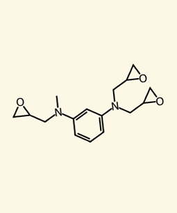 CN(CC1CO1)c1cccc(N(CC2CO2)CC2CO2)c1